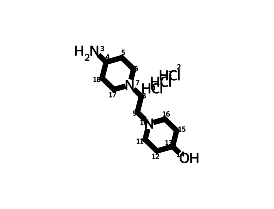 Cl.Cl.Cl.NC1CCN(CCN2CCC(O)CC2)CC1